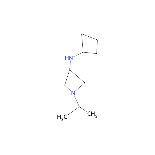 CC(C)N1CC(NC2CCC2)C1